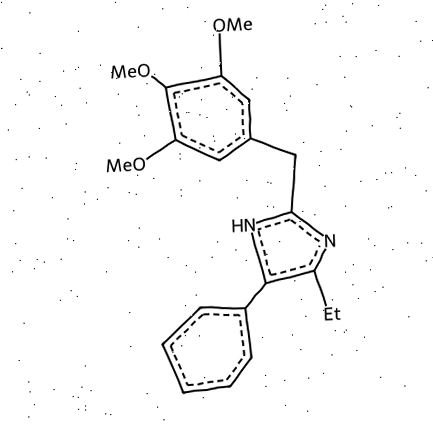 CCc1nc(Cc2cc(OC)c(OC)c(OC)c2)[nH]c1-c1ccccc1